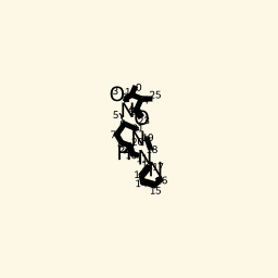 CC1C(=O)N(C[C@H]2CC[C@H]3CN(c4ccccn4)CCN3C2)C(=O)C1C